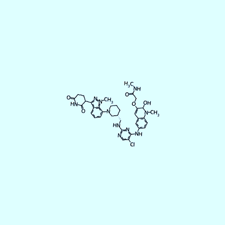 CNC(=O)COC1=Cc2cc(Nc3nc(NC[C@H]4CCCN(c5cccc6c(C7CCC(=O)NC7=O)nn(C)c56)C4)ncc3Cl)ccc2N(C)C1O